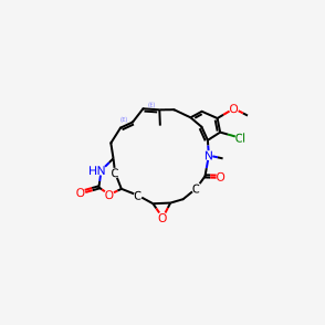 COc1cc2cc(c1Cl)N(C)C(=O)CCC1OC1CC1CC(C/C=C/C=C(\C)C2)NC(=O)O1